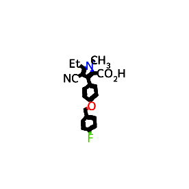 CCc1c(C#N)c(-c2ccc(OCc3ccc(F)cc3)cc2)c(C(=O)O)n1C